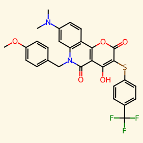 COc1ccc(Cn2c(=O)c3c(O)c(Sc4ccc(C(F)(F)F)cc4)c(=O)oc3c3ccc(N(C)C)cc32)cc1